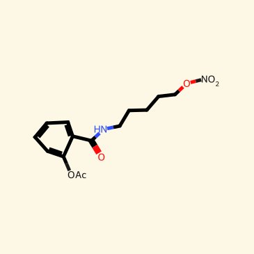 CC(=O)Oc1ccccc1C(=O)NCCCCCO[N+](=O)[O-]